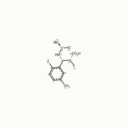 Cc1ccc(F)c([C@H](N[S@+]([O-])C(C)(C)C)[C@@H](F)C(=O)O)c1